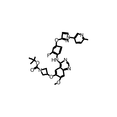 COc1cc2ncnc(Nc3ccc(Oc4ccn(-c5ccc(C)nc5)n4)cc3F)c2cc1OC1CN(C(=O)OC(C)(C)C)C1